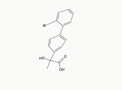 CC(O)(C(=O)O)c1ccc(-c2ccccc2Br)cc1